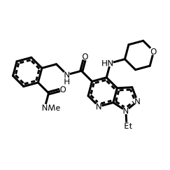 CCn1ncc2c(NC3CCOCC3)c(C(=O)NCc3ccccc3C(=O)NC)cnc21